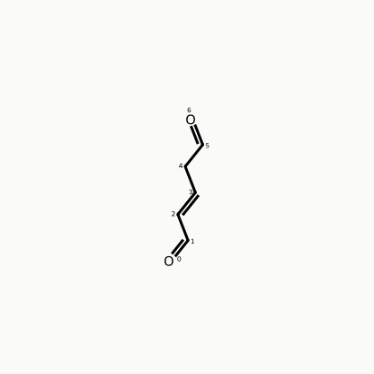 O=CC=CCC=O